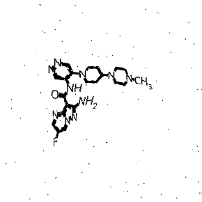 CN1CCN(C2CCN(c3cnncc3NC(=O)c3c(N)nn4cc(F)cnc34)CC2)CC1